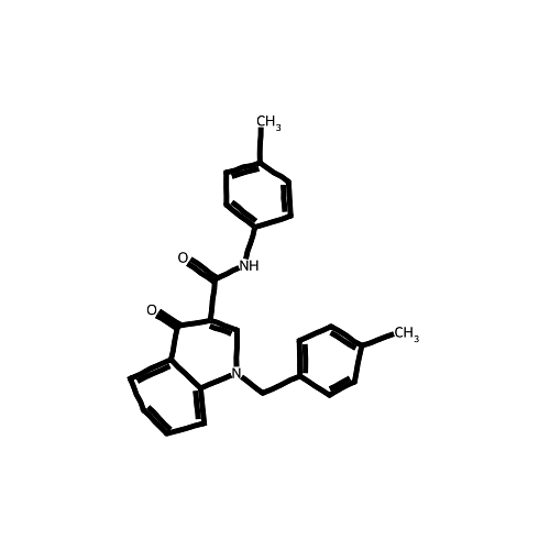 Cc1ccc(Cn2cc(C(=O)Nc3ccc(C)cc3)c(=O)c3ccccc32)cc1